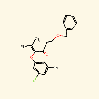 CC/C(C)=C(\Oc1cc(F)cc(C#N)c1)C(=O)CCOCc1ccccc1